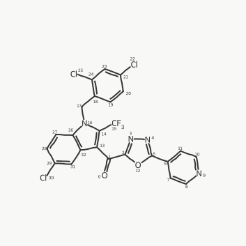 O=C(c1nnc(-c2ccncc2)o1)c1c(C(F)(F)F)n(Cc2ccc(Cl)cc2Cl)c2ccc(Cl)cc12